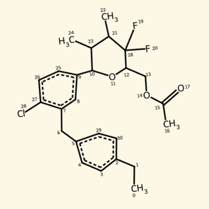 CCc1ccc(Cc2cc(C3OC(COC(C)=O)C(F)(F)C(C)C3C)ccc2Cl)cc1